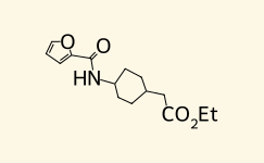 CCOC(=O)CC1CCC(NC(=O)c2ccco2)CC1